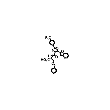 O=C(NC(COCc1ccccc1)C(=O)O)c1nc(-c2ccc(C(F)(F)F)cc2)oc1-c1cc2ccccc2o1